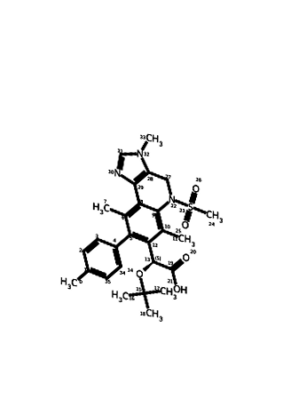 Cc1ccc(-c2c(C)c3c(c(C)c2[C@H](OC(C)(C)C)C(=O)O)N(S(C)(=O)=O)Cc2c-3ncn2C)cc1